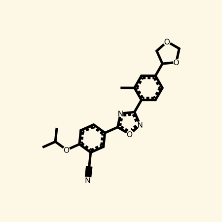 Cc1cc(C2COCO2)ccc1-c1noc(-c2ccc(OC(C)C)c(C#N)c2)n1